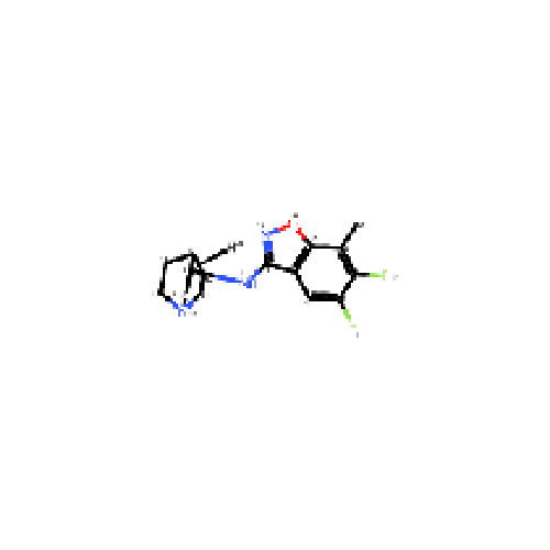 Cc1c(F)c(F)cc2c(N[C@@H]3CN4CCC3CC4)noc12